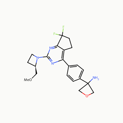 COC[C@H]1CCN1c1nc(-c2ccc(C3(N)COC3)cc2)c2c(n1)C(F)(F)CC2